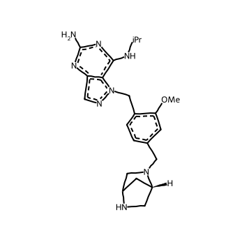 COc1cc(CN2CC3C[C@H]2CN3)ccc1Cn1ncc2nc(N)nc(NC(C)C)c21